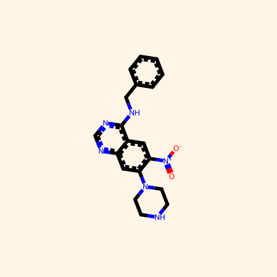 O=[N+]([O-])c1cc2c(NCc3ccccc3)ncnc2cc1N1CCNCC1